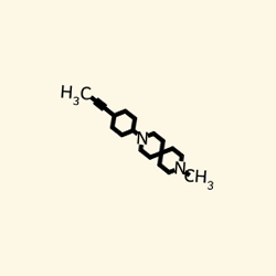 CC#CC1CCC(N2CCC3(CCN(C)CC3)CC2)CC1